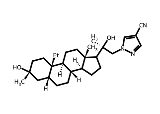 CC[C@]12CC[C@@](C)(O)C[C@H]1CC[C@@H]1[C@@H]2CC[C@]2(C)C([C@@](C)(O)Cn3cc(C#N)cn3)CC[C@@H]12